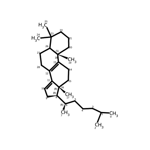 CC(C)CCC[C@@H](C)[C@H]1CC=C2C3=C(CC[C@@]21C)[C@@]1(C)CCCC(C)(C)C1CC3